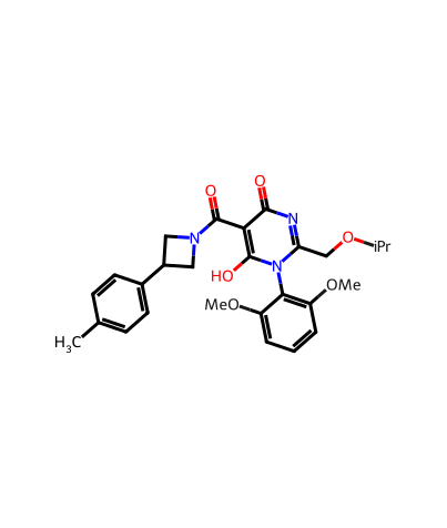 COc1cccc(OC)c1-n1c(COC(C)C)nc(=O)c(C(=O)N2CC(c3ccc(C)cc3)C2)c1O